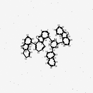 C1=Cc2c(oc3cccc(-c4nc(-c5ccc6ccccc6c5)nc(-c5cccc6oc7ccccc7c56)n4)c23)C(c2cccc3sc4c(c23)C=CCC4)=CC1